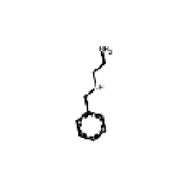 NCCNCc1cc[c]cc1